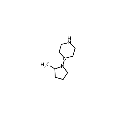 CC1CCCN1N1CCNCC1